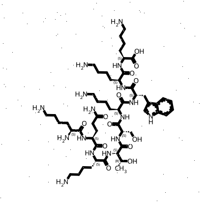 C[C@@H](O)[C@H](NC(=O)[C@H](CCCCN)NC(=O)[C@H](CCC(N)=O)NC(=O)[C@@H](N)CCCCN)C(=O)N[C@@H](CO)C(=O)N[C@@H](CCCCN)C(=O)N[C@@H](Cc1c[nH]c2ccccc12)C(=O)N[C@@H](CCCCN)C(=O)N[C@@H](CCCCN)C(=O)O